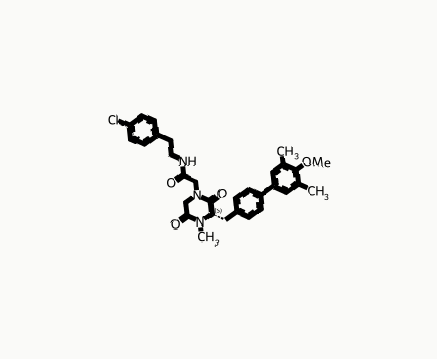 COc1c(C)cc(-c2ccc(C[C@H]3C(=O)N(CC(=O)NCCc4ccc(Cl)cc4)CC(=O)N3C)cc2)cc1C